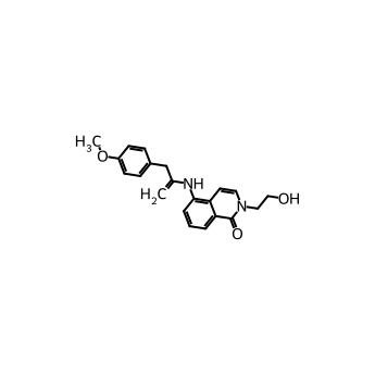 C=C(Cc1ccc(OC)cc1)Nc1cccc2c(=O)n(CCO)ccc12